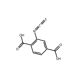 O=C(O)c1ccc(C(=O)O)c(N=C=S)c1